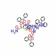 NC(=O)CSC1=C(C(=O)OC(c2ccccc2)c2ccccc2)N2C(=O)[C@@H](NC(=O)/C(=N\OCC(=O)OC(c3ccccc3)c3ccccc3)c3csc(NC(c4ccccc4)(c4ccccc4)c4ccccc4)n3)[C@H]2SC1